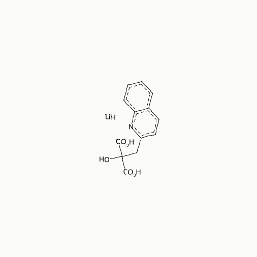 O=C(O)C(O)(Cc1ccc2ccccc2n1)C(=O)O.[LiH]